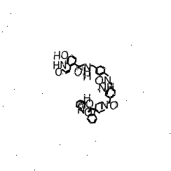 CNC(=O)N(Cc1ccc(CNC[C@H](O)c2ccc(O)c3[nH]c(=O)ccc23)cc1)Cc1ccc(C(=O)N2CCC(C(=O)O[C@H]3CN4CCC3CC4)(c3ccccc3)CC2)cc1